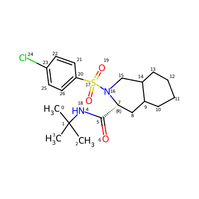 CC(C)(C)NC(=O)[C@H]1CC2CCCCC2CN1S(=O)(=O)c1ccc(Cl)cc1